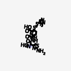 Cn1nncc1SCSC1=C(C(=O)O)N2C(=O)[C@@H](NC(=O)/C(=N\O)c3csc(N)n3)[C@@H]2CC1